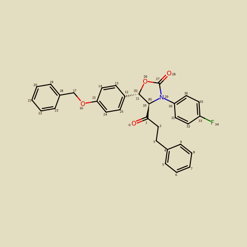 O=C(CCc1ccccc1)[C@H]1[C@H](c2ccc(OCc3ccccc3)cc2)OC(=O)N1c1ccc(F)cc1